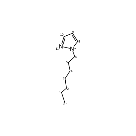 [CH2]CCCCCCn1cccn1